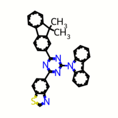 CC1(C)c2ccccc2-c2ccc(-c3nc(-c4ccc5scnc5c4)nc(-n4c5ccccc5c5ccccc54)n3)cc21